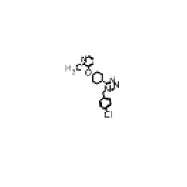 Cc1ncccc1O[C@H]1CC[C@H](c2nncn2Cc2ccc(Cl)cc2)CC1